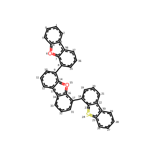 c1ccc2c(c1)oc1c(-c3cccc4c3oc3c(-c5cccc6c5sc5ccccc56)cccc34)cccc12